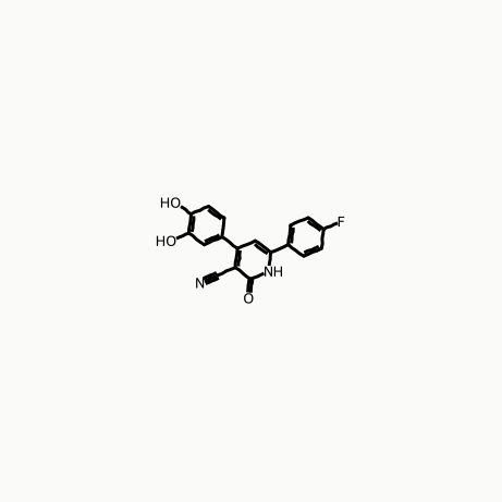 N#Cc1c(-c2ccc(O)c(O)c2)cc(-c2ccc(F)cc2)[nH]c1=O